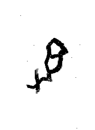 CC(F)(F)OC1Cc2ccccc2C1